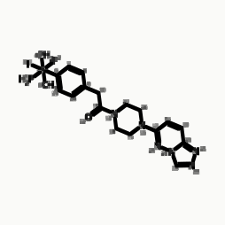 CS(F)(F)(P)(P)c1ccc(CC(=O)N2CCN(c3ccc4nncn4n3)CC2)cc1